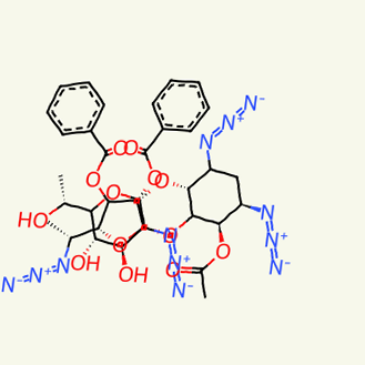 CC(=O)O[C@H]1C(O[C@@H]2O[C@H]([C@@H](C)N=[N+]=[N-])C(OC(=O)c3ccccc3)[C@@H]2OC(=O)c2ccccc2)[C@H](O[C@H]2OC([C@@H](C)O)[C@@H](O)[C@H](O)C2N=[N+]=[N-])C(N=[N+]=[N-])C[C@H]1N=[N+]=[N-]